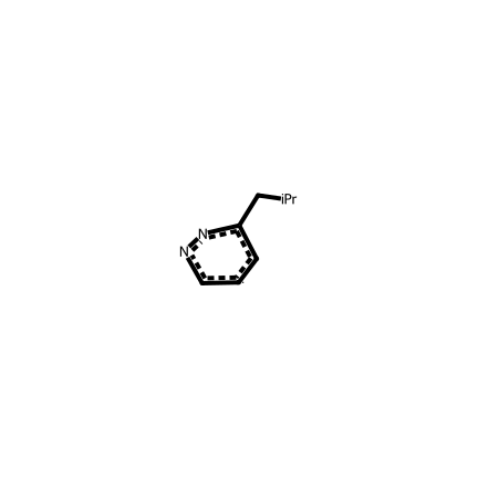 CC(C)Cc1c[c]cnn1